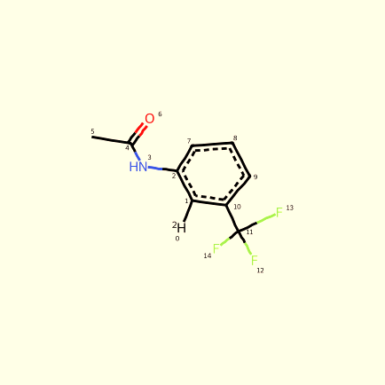 [2H]c1c(NC(C)=O)cccc1C(F)(F)F